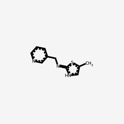 Cc1c[nH]/c(=N/Cc2cccnc2)s1